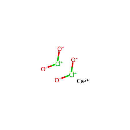 [Ca+2].[O-][Cl+][O-].[O-][Cl+][O-]